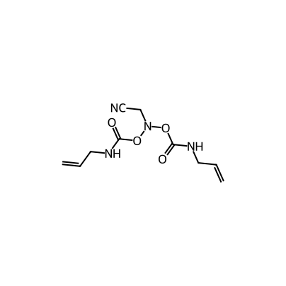 C=CCNC(=O)ON(CC#N)OC(=O)NCC=C